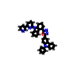 C1=C(c2nnc(-c3ccc4c(c3)c3ccccc3n4-c3ccccc3)o2)c2c(n(-c3cccc(-c4cccnc4)n3)c3ccccc23)CC1